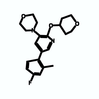 Cc1cc(F)ccc1-c1cnc(OC2CCOCC2)c(N2CCOCC2)c1